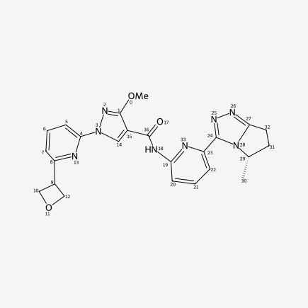 COc1nn(-c2cccc(C3COC3)n2)cc1C(=O)Nc1cccc(-c2nnc3n2[C@@H](C)CC3)n1